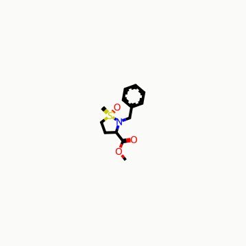 C=S1(=O)CCC(C(=O)OC)N1Cc1ccccc1